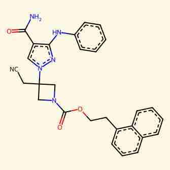 N#CCC1(n2cc(C(N)=O)c(Nc3ccccc3)n2)CN(C(=O)OCCc2cccc3ccccc23)C1